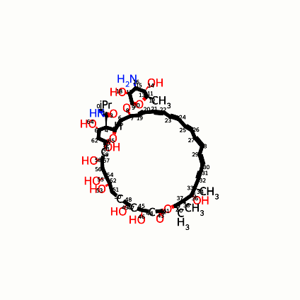 CC(C)NC(=O)[C@H]1[C@@H]2C[C@@H](O[C@@H]3O[C@H](C)[C@@H](O)[C@H](N)[C@@H]3O)/C=C/C=C/C=C/C=C/C=C/C=C/C=C/[C@H](C)[C@@H](O)[C@@H](C)[C@H](C)OC(=O)C[C@H](O)C[C@H](O)CC[C@@H](O)[C@H](O)C[C@H](O)C[C@](O)(C[C@@H]1O)O2